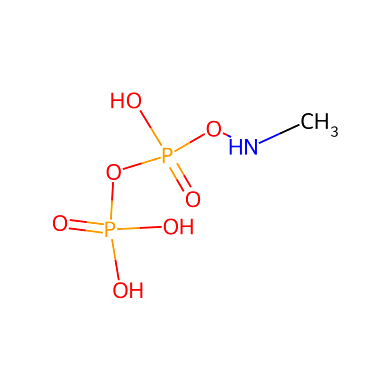 CNOP(=O)(O)OP(=O)(O)O